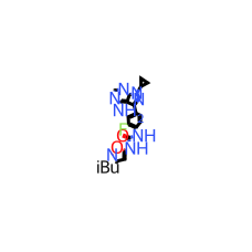 CCC(C)c1cc(NC(=O)Nc2ccc(-c3nn(C4CC4)c4ncnc(N)c34)cc2F)on1